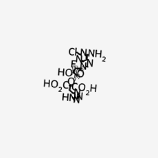 Nc1nc(Cl)nc2c1ncn2[C@@H]1O[C@H](COC(Cc2nnn[nH]2)(C(=O)O)C(=O)O)[C@@H](O)[C@@H]1F